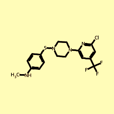 CNc1ccc(SN2CCN(c3cc(C(F)(F)F)cc(Cl)n3)CC2)cc1